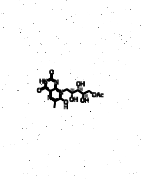 CC(=O)OC[C@@H](O)[C@@H](O)[C@@H](O)Cn1c2nc(=O)[nH]c(=O)c-2nc(C)c1O